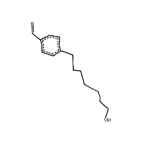 C=Cc1ccc(CCCCCCCO)cc1